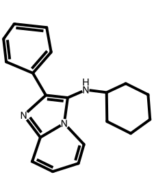 c1ccc(-c2nc3ccccn3c2NC2CCCCC2)cc1